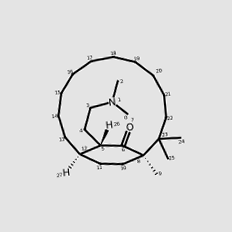 CN(C)CC[C@@H]1C(=O)[C@]2(C)CC[C@H]1CCCCCCCCCCC2(C)C